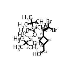 CC(C)(C)[Si](C)(C)O[Si](C)(C)C(C)(C)C.OCC1CC(C=C(Br)Br)C1